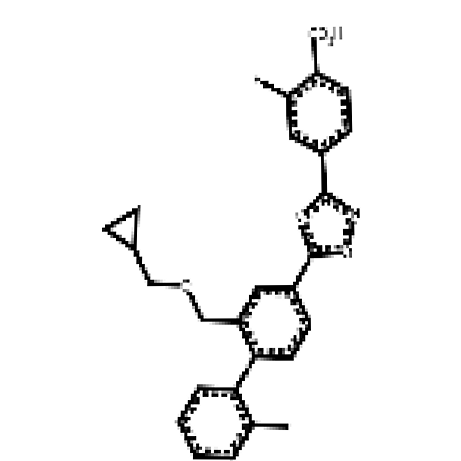 Cc1ccccc1-c1ccc(-c2nc(-c3ccc(C(=O)O)c(F)c3)no2)cc1COCC1CC1